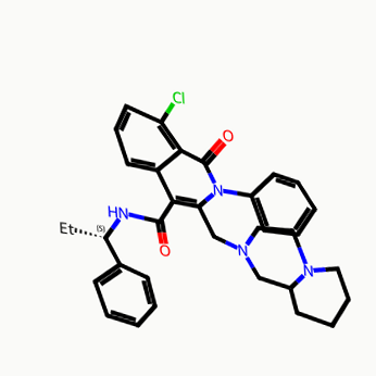 CC[C@H](NC(=O)c1c(CN2CCN3CCCCC3C2)n(-c2ccccc2)c(=O)c2c(Cl)cccc12)c1ccccc1